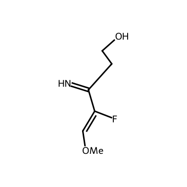 CO/C=C(\F)C(=N)CCO